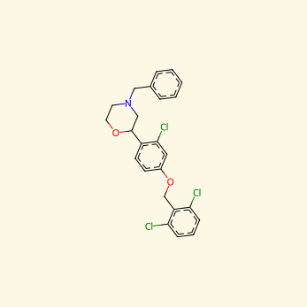 Clc1cc(OCc2c(Cl)cccc2Cl)ccc1C1CN(Cc2ccccc2)CCO1